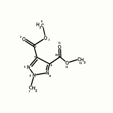 COC(=O)c1nn(C)nc1C(=O)OC